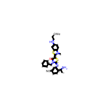 COCCNc1ccc2c(c1)SC(=C1SC(=Nc3cc(C#N)ccc3C(C)N)N(Cc3ccccc3)C1=O)N2C